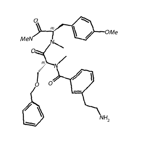 CNC(=O)[C@@H](Cc1ccc(OC)cc1)N(C)C(=O)[C@@H](COCc1ccccc1)N(C)C(=O)c1cccc(CCN)c1